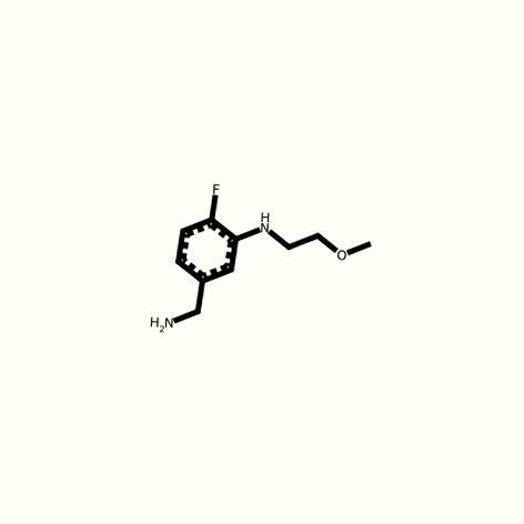 COCCNc1cc(CN)ccc1F